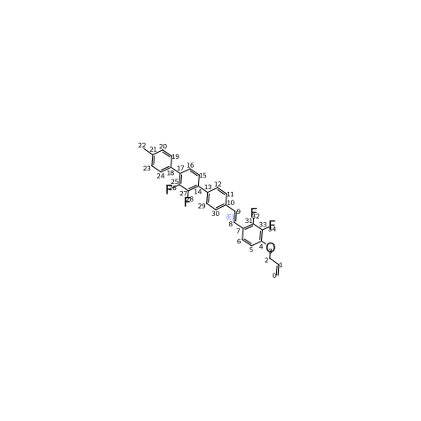 C=CCOc1ccc(/C=C/c2ccc(-c3ccc(-c4ccc(C)cc4)c(F)c3F)cc2)c(F)c1F